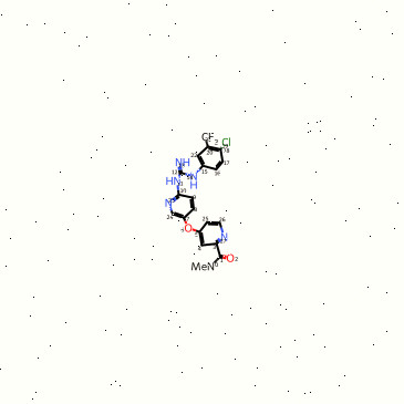 CNC(=O)c1cc(Oc2ccc(NC(=N)Nc3ccc(Cl)c(C(F)(F)F)c3)nc2)ccn1